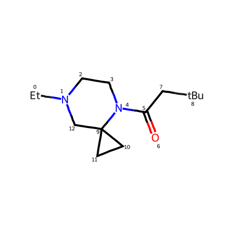 CCN1CCN(C(=O)CC(C)(C)C)C2(CC2)C1